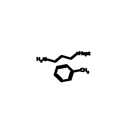 CCCCCCCCC[CH2][AlH2].Cc1ccccc1